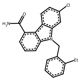 CCc1ccccc1Cn1c2cc(Cl)c[c]c2c2c(C(N)=O)cccc21